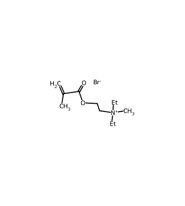 C=C(C)C(=O)OCC[N+](C)(CC)CC.[Br-]